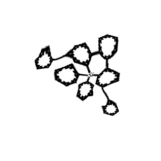 c1ccc(-c2ccc3c(c2)[Si](c2ccccc2)(c2ccccc2)c2cc(-c4ccccc4)ccc2-c2ccccc2-3)cc1